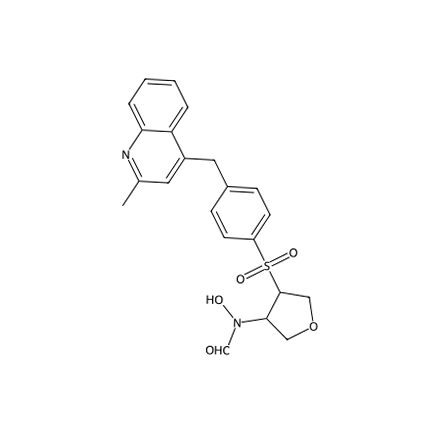 Cc1cc(Cc2ccc(S(=O)(=O)C3COCC3N(O)C=O)cc2)c2ccccc2n1